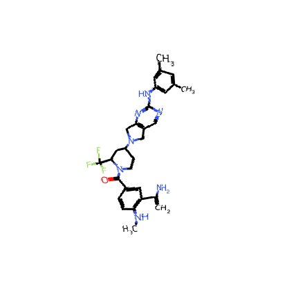 C=C(N)c1cc(C(=O)N2CCC(N3Cc4cnc(Nc5cc(C)cc(C)c5)nc4C3)CC2C(F)(F)F)ccc1NC